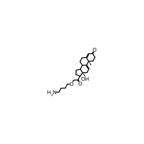 C[C@]12CCC(=O)C=C1CCC1C2=CC[C@@]2(C)C1CC[C@]2(O)C(=O)COCCCCN